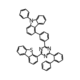 c1ccc(-c2ccccc2-c2nc(-c3cccc(-c4cccc5c4c4ccccc4n5-c4ccccc4)c3)nc(-c3cccc4c3sc3ccccc34)n2)cc1